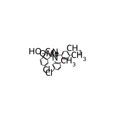 COc1ccc(Cl)cc1-c1c(C(=O)O)nc(-c2ccc(C)c(C)c2)n1-c1cc(Cl)ccc1C